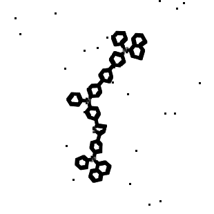 c1ccc(N(c2ccc(-c3ccc(-c4ccc(N(c5ccccc5)c5cccc6ccccc56)cc4)cc3)cc2)c2ccc(-c3ccc(-c4ccc(N(c5ccccc5)c5cccc6ccccc56)cc4)s3)cc2)cc1